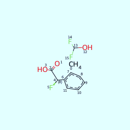 C.O=C(O)[C@H](F)c1ccccc1.OC(F)F